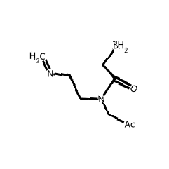 BCC(=O)N(CCN=C)CC(C)=O